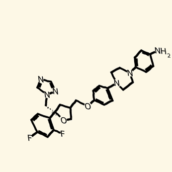 Nc1ccc(N2CCN(c3ccc(OCC4CO[C@@](Cn5cncn5)(c5ccc(F)cc5F)C4)cc3)CC2)cc1